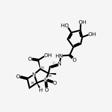 C[C@]1(/C=N/NC(=O)c2cc(O)c(O)c(O)c2)[C@H](C(=O)O)N2C(=O)C[C@H]2S1(=O)=O